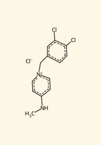 CNc1cc[n+](Cc2ccc(Cl)c(Cl)c2)cc1.[Cl-]